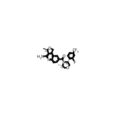 C[C@H]1OCc2c1c(N)nc1ccc(C(=O)N3[C@@H](C)COC[C@H]3c3ccc(C(F)(F)F)cc3F)cc21